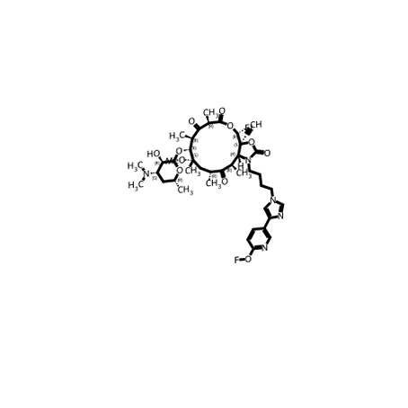 C#C[C@]12OC(=O)N(CCCCn3cnc(-c4ccc(OF)nc4)c3)[C@@H]1[C@@H](C)C(=O)[C@H](C)C[C@](C)(OC)[C@H](OC1O[C@H](C)C[C@H](N(C)C)[C@H]1O)[C@@H](C)C(=O)[C@@H](C)C(=O)O[C@@H]2CC